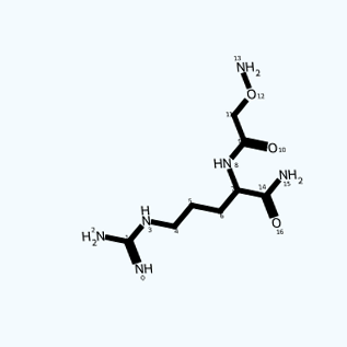 N=C(N)NCCCC(NC(=O)CON)C(N)=O